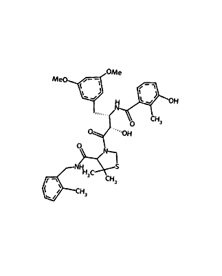 COc1cc(C[C@H](NC(=O)c2cccc(O)c2C)[C@H](O)C(=O)N2CSC(C)(C)C2C(=O)NCc2ccccc2C)cc(OC)c1